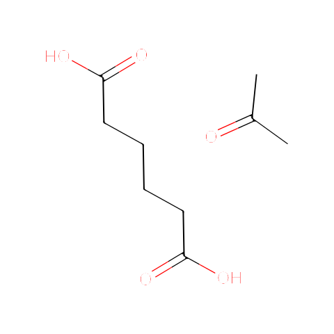 CC(C)=O.O=C(O)CCCCC(=O)O